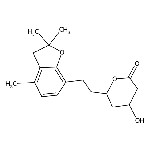 Cc1ccc(CCC2CC(O)CC(=O)O2)c2c1CC(C)(C)O2